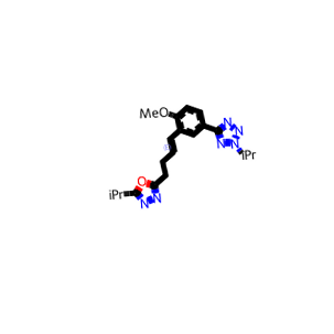 COc1ccc(-c2nnn(C(C)C)n2)cc1/C=C/CCc1nnc(C(C)C)o1